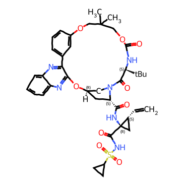 C=C[C@@H]1C[C@]1(NC(=O)[C@@H]1C[C@@H]2CN1C(=O)[C@H](C(C)(C)C)NC(=O)OCC(C)(C)COc1cccc(c1)-c1nc3ccccc3nc1O2)C(=O)NS(=O)(=O)C1CC1